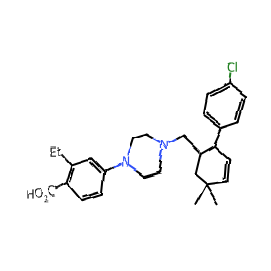 CCc1cc(N2CCN(CC3CC(C)(C)C=CC3c3ccc(Cl)cc3)CC2)ccc1C(=O)O